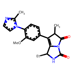 CCC1NC(=O)N2C(=O)C(C)C(c3ccc(-n4ccnc4C)c(OC)c3)=C12